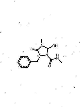 CNC(=O)N1C(O)N(C)C(=O)[C@@H]1Cc1ccccc1